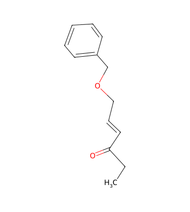 CCC(=O)/C=C/COCc1ccccc1